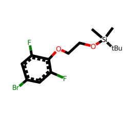 CC(C)(C)[Si](C)(C)OCCOc1c(F)cc(Br)cc1F